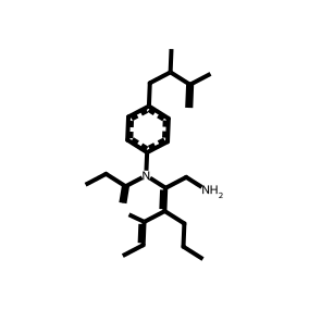 C=C(C)C(C)Cc1ccc(N(C(=C)CC)/C(CN)=C(CCC)\C(C)=C\C)cc1